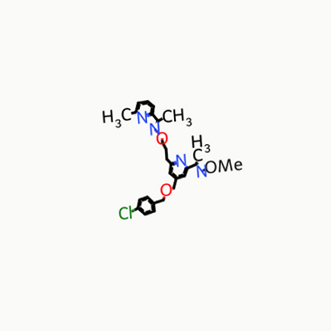 CO/N=C(\C)c1cc(COCc2ccc(Cl)cc2)cc(CCCO/N=C(\C)c2cccc(C)n2)n1